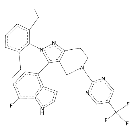 CCc1cccc(CC)c1-n1nc2c(c1-c1ccc(F)c3[nH]ccc13)CN(c1ncc(C(F)(F)F)cn1)CC2